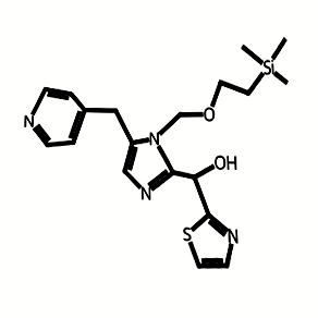 C[Si](C)(C)CCOCn1c(Cc2ccncc2)cnc1C(O)c1nccs1